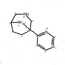 [c]1nccc(C23CCC(CNC2)NC3)n1